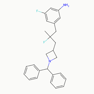 CC(F)(Cc1cc(N)cc(F)c1)CC1CN(C(c2ccccc2)c2ccccc2)C1